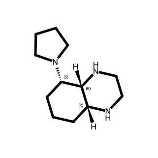 C1C[C@H]2NCCN[C@H]2[C@@H](N2CCCC2)C1